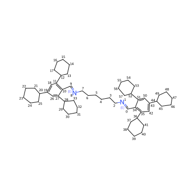 C(=N\CCCCCC/N=C/c1c(C2CCCCC2)cc(C2CCCCC2)cc1C1CCCCC1)/c1c(C2CCCCC2)cc(C2CCCCC2)cc1C1CCCCC1